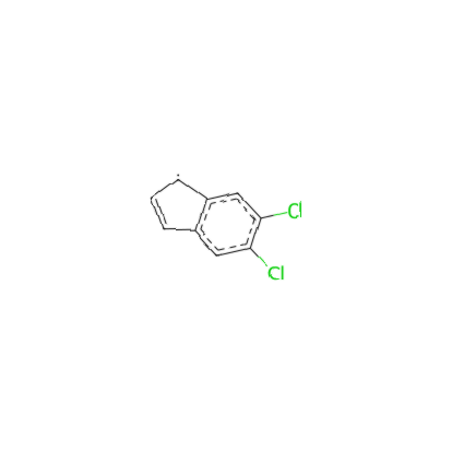 Clc1cc2c(cc1Cl)C=C[CH]2